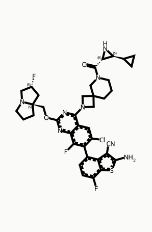 N#Cc1c(N)sc2c(F)ccc(-c3c(Cl)cc4c(N5CC6(CCCN(C(=O)[C@@H]7N[C@H]7C7CC7)C6)C5)nc(OC[C@@]56CCCN5C[C@H](F)C6)nc4c3F)c12